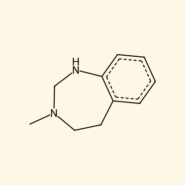 CN1CCc2ccccc2NC1